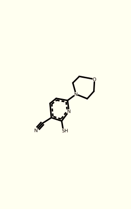 N#Cc1ccc(N2CCOCC2)nc1S